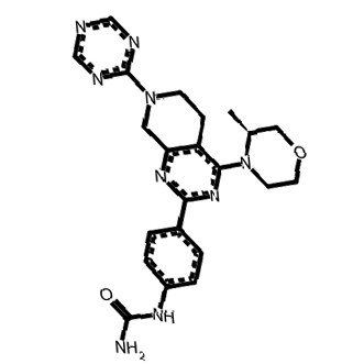 C[C@H]1COCCN1c1nc(-c2ccc(NC(N)=O)cc2)nc2c1CCN(c1ncncn1)C2